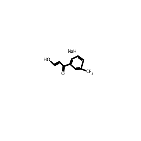 O=C(C=CO)c1cccc(C(F)(F)F)c1.[NaH]